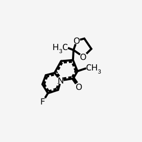 Cc1c(C2(C)OCCO2)cc2ccc(F)cn2c1=O